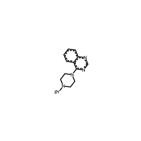 CC(C)N1CCN(c2ncnc3ccccc23)CC1